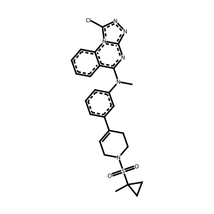 CN(c1cccc(C2=CCN(S(=O)(=O)C3(C)CC3)CC2)c1)c1nc2nnc(Cl)n2c2ccccc12